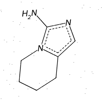 Nc1ncc2n1CCCC2